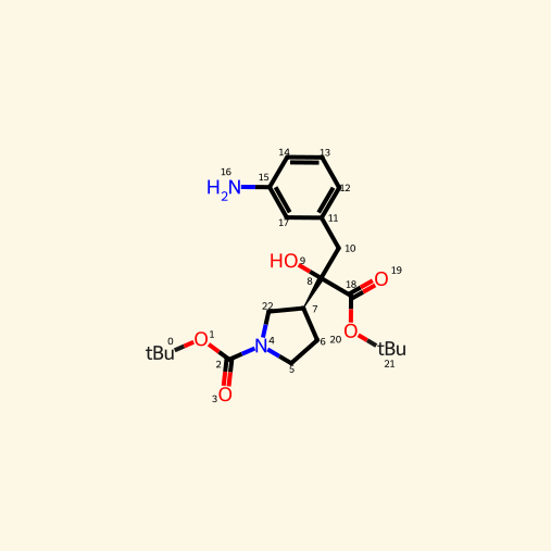 CC(C)(C)OC(=O)N1CC[C@H](C(O)(Cc2cccc(N)c2)C(=O)OC(C)(C)C)C1